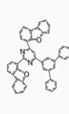 c1ccc(-c2cc(-c3ccccc3)cc(-c3cc(-c4cccc5c4oc4ccccc45)nc(-c4cccc5c4oc4ccccc45)n3)c2)cc1